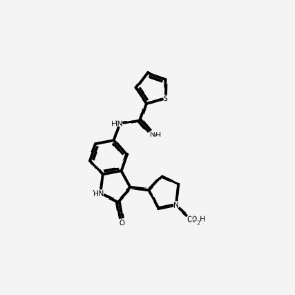 N=C(Nc1ccc2c(c1)C(C1CCN(C(=O)O)C1)C(=O)N2)c1cccs1